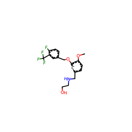 COc1ccc(CNCCO)cc1OCc1ccc(F)c(C(F)(F)F)c1